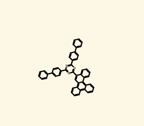 c1ccc(-c2ccc(-c3nc(-c4ccc(-c5ccccc5)cc4)nc(-c4cc5c6ccccc6c6ccccc6c5c5ccccc45)n3)cc2)cc1